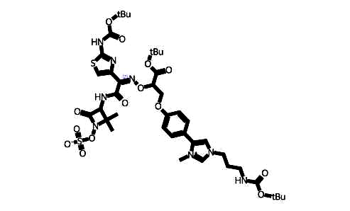 C[n+]1cn(CCCNC(=O)OC(C)(C)C)cc1-c1ccc(OCC(O/N=C(\C(=O)NC2C(=O)N(OS(=O)(=O)[O-])C2(C)C)c2csc(NC(=O)OC(C)(C)C)n2)C(=O)OC(C)(C)C)cc1